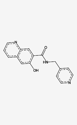 O=C(NCc1ccncc1)c1cc2ncccc2cc1O